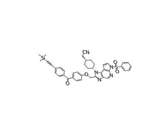 C[Si](C)(C)C#Cc1ccc(C(=O)c2ccc(OCc3nc4cnc5c(ccn5S(=O)(=O)c5ccccc5)c4n3[C@H]3CC[C@H](CC#N)CC3)cc2)cc1